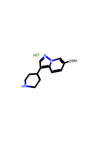 COc1ccc2c(C3CCNCC3)cnn2c1.Cl